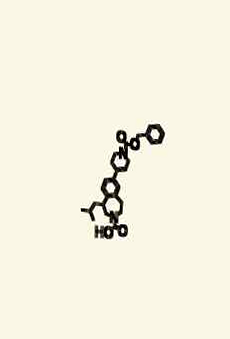 CC(C)CC1CN(C(=O)O)CCc2cc(C3=CCN(C(=O)OCc4ccccc4)CC3)ccc21